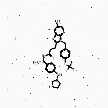 Cc1cnc2c(c1)nc(CCC(=O)N[C@@H](C)c1ccc(N[C@H]3CCNC3)cc1)n2Cc1ccc(OC(F)(F)F)cc1